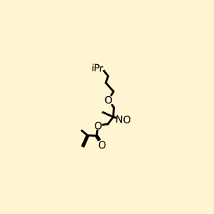 C=C(C)C(=O)OCC(C)(COCCCC(C)C)N=O